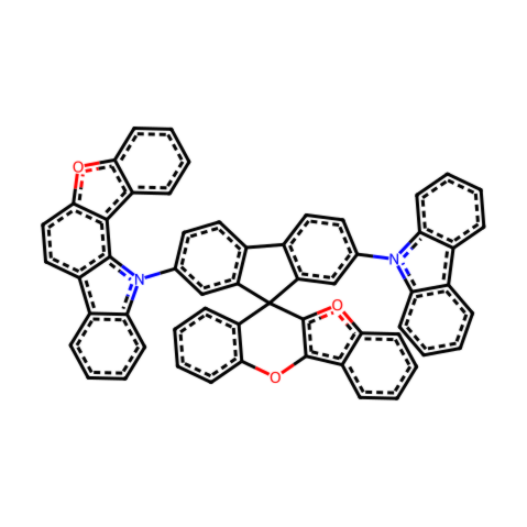 c1ccc2c(c1)Oc1c(oc3ccccc13)C21c2cc(-n3c4ccccc4c4ccccc43)ccc2-c2ccc(-n3c4ccccc4c4ccc5oc6ccccc6c5c43)cc21